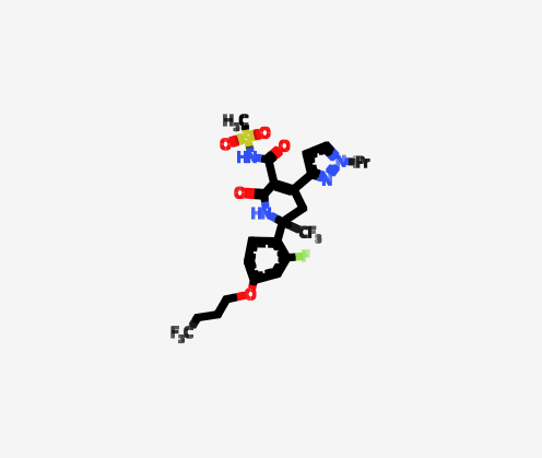 CC(C)n1ccc(C2=C(C(=O)NS(C)(=O)=O)C(=O)NC(c3ccc(OCCCC(F)(F)F)cc3F)(C(F)(F)F)C2)n1